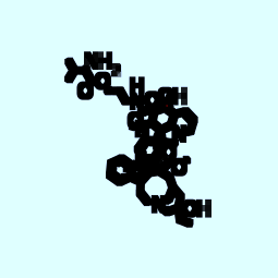 CCC1(O)CC2C[N@](CCc3c([nH]c4ccccc34)[C@@](C(=O)OC)(c3cc4c(cc3OC)N(C)C3C45CCN4CC=C[C@](CC)(C45)C(O)[C@]3(O)C(=O)NCCCOC(=O)C(N)C(C)C)C2)C1